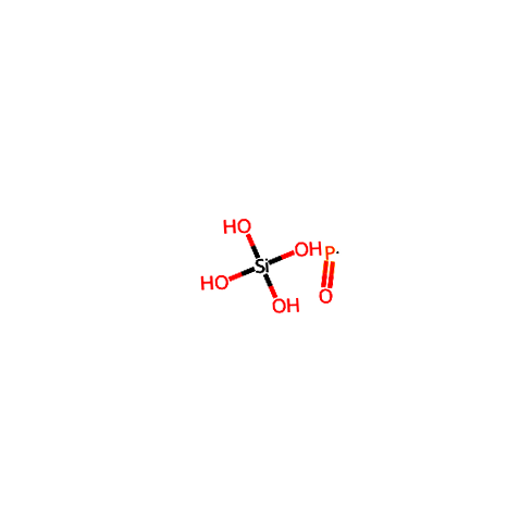 O=[P].O[Si](O)(O)O